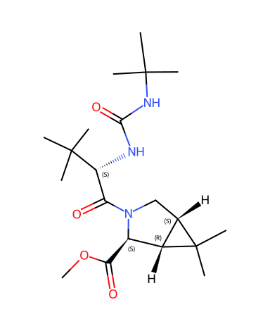 COC(=O)[C@@H]1[C@@H]2[C@H](CN1C(=O)[C@@H](NC(=O)NC(C)(C)C)C(C)(C)C)C2(C)C